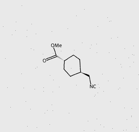 [C-]#[N+]C[C@H]1CC[C@H](C(=O)OC)CC1